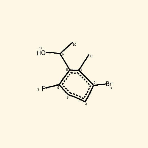 Cc1c(Br)ccc(F)c1C(C)O